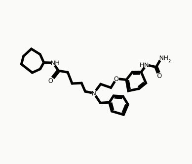 NC(=O)Nc1cccc(OCCN(CCCCC(=O)NC2CCCCCC2)Cc2ccccc2)c1